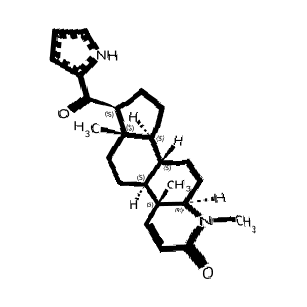 CN1C(=O)C=C[C@]2(C)[C@H]3CC[C@]4(C)[C@@H](C(=O)c5ccc[nH]5)CC[C@H]4[C@@H]3CC[C@@H]12